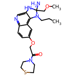 CCCN1c2c(cnc3ccc(OCC(=O)N4CCSCC4)cc23)NC1(N)COC